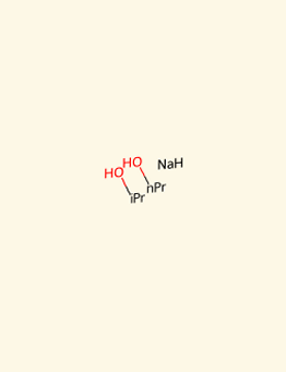 CC(C)O.CCCO.[NaH]